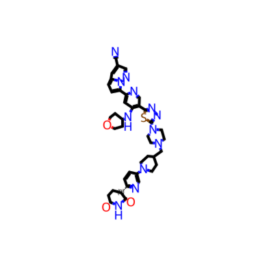 N#Cc1cnn2c(-c3cc(NC4CCOCC4)c(-c4nnc(N5CCN(CC6CCN(c7ccc([C@H]8CCC(=O)NC8=O)nc7)CC6)CC5)s4)cn3)ccc2c1